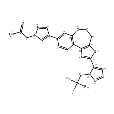 NC(=O)Cn1cc(-c2ccc3c(c2)OCCc2sc(-c4ncnn4CC(F)(F)F)nc2-3)cn1